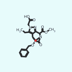 CCc1c2c(nn1CC(=O)O)C(C(=O)OC)N1CC2N(OCc2ccccc2)C1=O